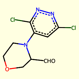 O=CC1COCCN1c1cc(Cl)nnc1Cl